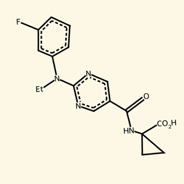 CCN(c1cccc(F)c1)c1ncc(C(=O)NC2(C(=O)O)CC2)cn1